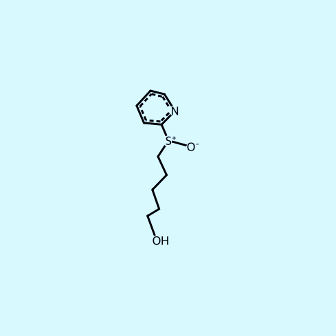 [O-][S+](CCCCCO)c1ccccn1